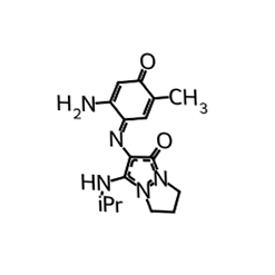 CC1=CC(=Nc2c(NC(C)C)n3n(c2=O)CCC3)C(N)=CC1=O